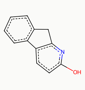 Oc1ccc2c(n1)Cc1ccccc1-2